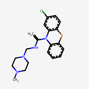 C=C(NCN1CCN(C)CC1)N1c2ccccc2Sc2ccc(Cl)cc21